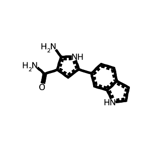 NC(=O)c1cc(-c2ccc3cc[nH]c3c2)[nH]c1N